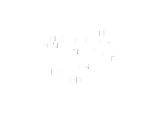 C=CN(/C(=C\N)C(C)(C)O)C1c2ccccc2C(F)(F)C1(C)C